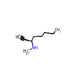 C#CC(CCCCC)NC